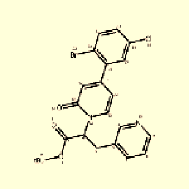 CC(C)(C)OC(=O)C(Cc1cccnc1)n1ccc(-c2cc(Cl)ccc2Br)cc1=O